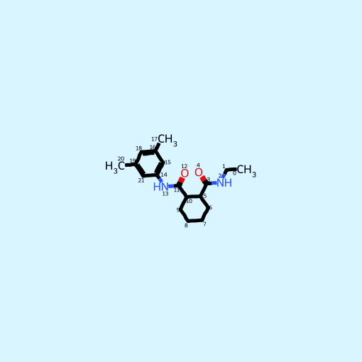 CCNC(=O)C1CCCCC1C(=O)Nc1cc(C)cc(C)c1